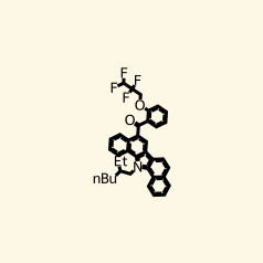 CCCCC(CC)Cn1c2c3ccccc3ccc2c2cc(C(=O)c3ccccc3OCC(F)(F)C(F)F)c3ccccc3c21